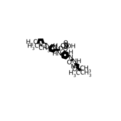 CN1[C@H](COc2ccc(C(=O)Nc3ccc(NC(=O)Nc4cc(C(C)(C)C)on4)cc3)nc2)CCC1(C)C.CS(=O)(=O)O